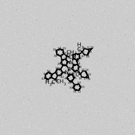 CC1(c2ccc3c(c2)c2cc(C4(C)CC=C5CC5C4)cc4c2n3-c2c3c(cc5c2C(C)(C)c2ccccc2-5)-c2cc5c(cc2N(c2ccc(-c6ccccc6)cc2)B34)C(C)(C)c2ccccc2-5)CC=C2CC2C1